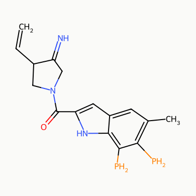 C=CC1CN(C(=O)c2cc3cc(C)c(P)c(P)c3[nH]2)CC1=N